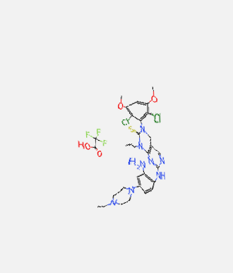 CCN1CCN(c2ccc(Nc3ncc4c(n3)N(CC)C(=S)N(c3c(Cl)c(OC)cc(OC)c3Cl)C4)c(N)c2)CC1.O=C(O)C(F)(F)F